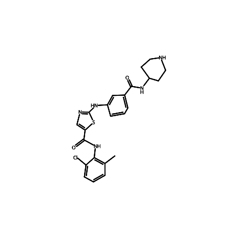 Cc1cccc(Cl)c1NC(=O)c1cnc(Nc2cccc(C(=O)NC3CCNCC3)c2)s1